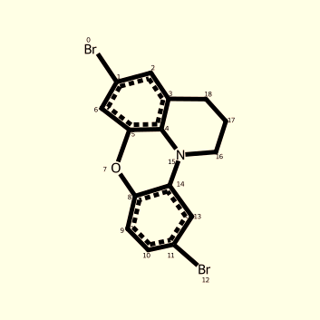 Brc1cc2c3c(c1)Oc1ccc(Br)cc1N3CCC2